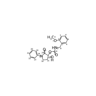 COc1ccccc1CNC(=O)O[C@@]1(O)CCN(c2ccccc2)C1=O